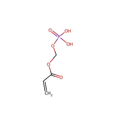 C=CC(=O)OCOP(=O)(O)O